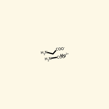 NC(=O)[O-].NCC(=O)[O-].[Mg+2]